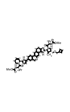 C=C1[C@@H](COCC2C=CC2)CN(C(=O)[C@@H](NC(=O)OC)C(C)C)[C@@H]1c1nc2c([nH]1)-c1cc3c(cc1CC2)-c1ccc(-c2cnc([C@@H]4C#CCCN4C(=O)[C@@H](NC(=O)OC)C(C)C)[nH]2)cc1CO3